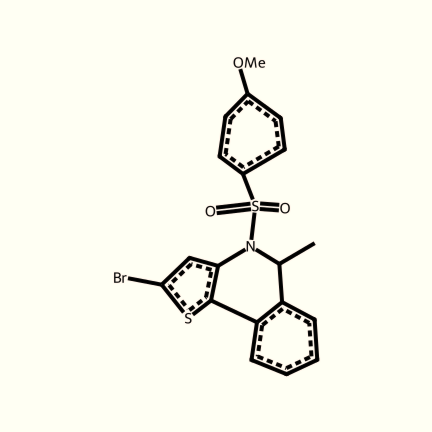 COc1ccc(S(=O)(=O)N2c3cc(Br)sc3-c3ccccc3C2C)cc1